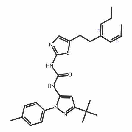 C/C=C\C(=C/CC)CCc1cnc(NC(=O)Nc2cc(C(C)(C)C)nn2-c2ccc(C)cc2)s1